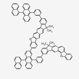 CC1(C)c2ccc(-c3cccc(-c4c5ccccc5c(-c5cccc6ccccc56)c5ccccc45)c3)cc2-c2cc3cc4oc5cc(-c6ccc7c(-c8cccc9ccccc89)c8ccccc8c(-c8cccc(-c9ccc%10c(c9)-c9cc%11c(ccc%12c%13ccccc%13oc%11%12)cc9C%10(C)C)c8)c7c6)ccc5c4cc3cc21